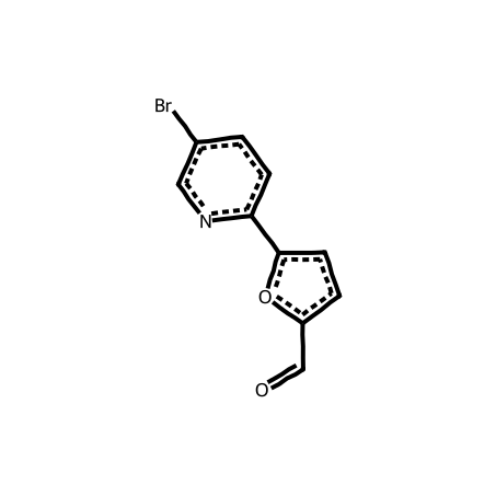 O=Cc1ccc(-c2ccc(Br)cn2)o1